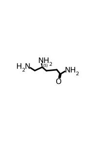 NC[C@@H](N)CCC(N)=O